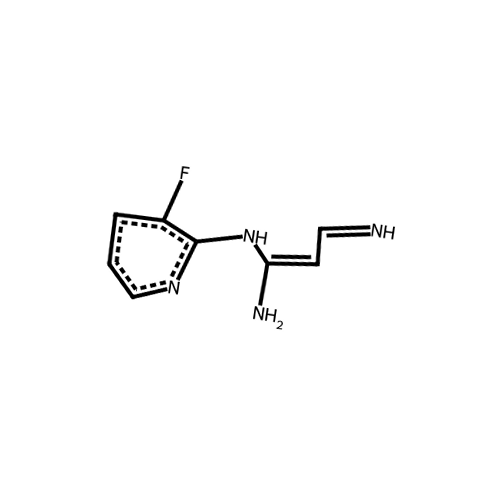 N=C/C=C(/N)Nc1ncccc1F